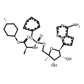 C[C@H](N[P@@](=O)(OC[C@@]1(C)O[C@@H](c2ccc3c(N)ncnn23)[C@H](O)[C@@H]1O)Oc1ccccc1)C(=O)O[C@H]1CC[C@H](C)CC1